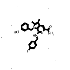 Cc1c(C)n(Cc2ccccc2)c2c(NCc3ccc(F)cc3)nc(C(N)=O)cc12.Cl